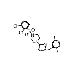 Cc1ccc(C)c(Cc2csc(N3CCN(S(=O)(=O)c4cccc(Cl)c4Cl)CC3)n2)c1